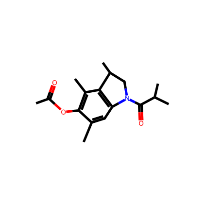 CC(=O)Oc1c(C)cc2c(c1C)C(C)CN2C(=O)C(C)C